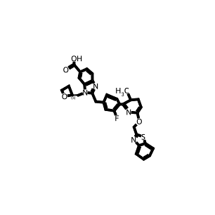 CC1CC=C(OCc2nc3ccccc3s2)N=C1c1ccc(Cc2nc3ccc(C(=O)O)cc3n2C[C@@H]2CCO2)cc1F